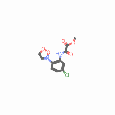 COC(=O)C(=O)Nc1cc(Cl)ccc1N1CCOO1